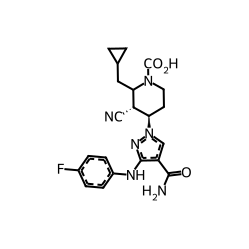 N#C[C@@H]1C(CC2CC2)N(C(=O)O)CC[C@H]1n1cc(C(N)=O)c(Nc2ccc(F)cc2)n1